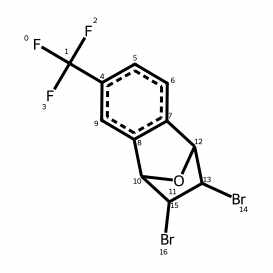 FC(F)(F)c1ccc2c(c1)C1OC2C(Br)C1Br